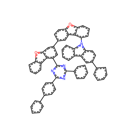 c1ccc(-c2ccc(-c3nc(-c4ccccc4)nc(-c4cc(-c5ccc6oc7cccc(-n8c9ccccc9c9cc(-c%10ccccc%10)ccc98)c7c6c5)cc5oc6ccccc6c45)n3)cc2)cc1